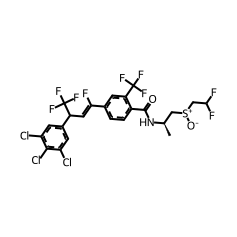 C[C@H](C[S+]([O-])CC(F)F)NC(=O)c1ccc(/C(F)=C/C(c2cc(Cl)c(Cl)c(Cl)c2)C(F)(F)F)cc1C(F)(F)F